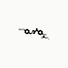 C=C(c1ccc(NC(N)=O)cc1)C1CN(Cc2ccc(OC)cc2)C1